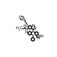 C=CC(=O)Nc1cc2c(N(c3ccc4[nH]ncc4c3)c3ccccc3Cc3ccccc3)ncnc2cc1OCCCN1CCOCC1